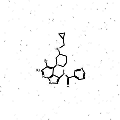 Cl.O=C(Nc1c[nH]c2ncc(Br)c(N3CCCC(NCC4CC4)C3)c12)c1cccnc1